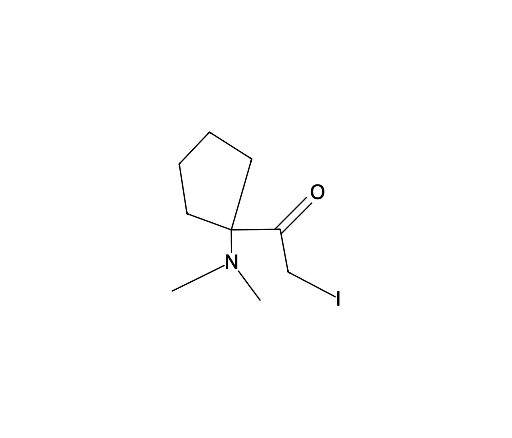 CN(C)C1(C(=O)CI)CCCC1